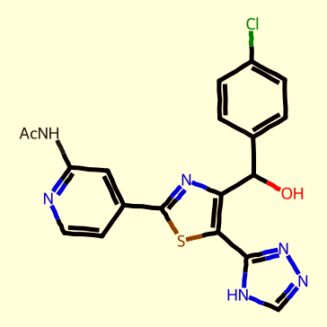 CC(=O)Nc1cc(-c2nc(C(O)c3ccc(Cl)cc3)c(-c3nnc[nH]3)s2)ccn1